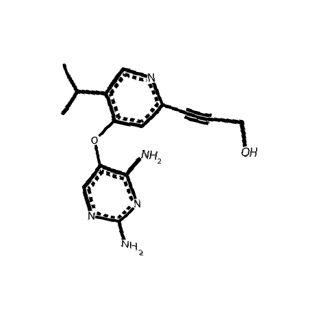 CC(C)c1cnc(C#CCO)cc1Oc1cnc(N)nc1N